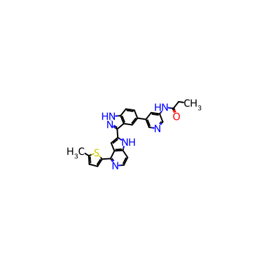 CCC(=O)Nc1cncc(-c2ccc3[nH]nc(-c4cc5c(-c6ccc(C)s6)nccc5[nH]4)c3c2)c1